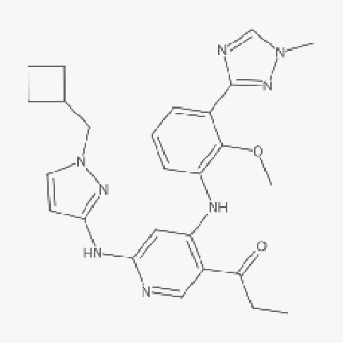 CCC(=O)c1cnc(Nc2ccn(CC3CCC3)n2)cc1Nc1cccc(-c2ncn(C)n2)c1OC